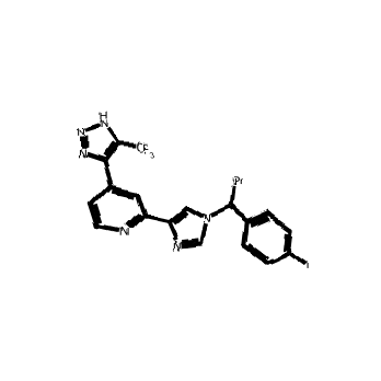 CC(C)C(c1ccc(I)cc1)n1cnc(-c2cc(-c3nn[nH]c3C(F)(F)F)ccn2)c1